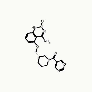 NC1=N[S+]([O-])Nc2cccc(OC[C@H]3CCCN(C(=O)c4cncnc4)C3)c21